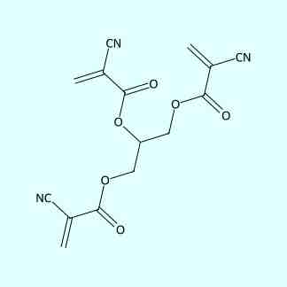 C=C(C#N)C(=O)OCC(COC(=O)C(=C)C#N)OC(=O)C(=C)C#N